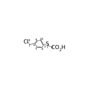 O=C(O)CSc1ccc(CCl)cc1